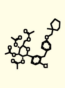 CC(=O)OC[C@H]1O[C@@H](c2ccc(Cl)c(Cc3ccc(OCC4(C)CCCCC4)cc3)c2)[C@H](OC(C)=O)[C@@H](OC(C)=O)[C@@H]1OC(C)=O